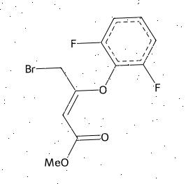 COC(=O)/C=C(/CBr)Oc1c(F)cccc1F